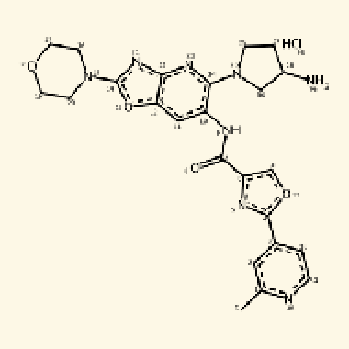 Cc1cc(-c2nc(C(=O)Nc3cc4oc(N5CCOCC5)nc4nc3N3CCC(N)C3)co2)ccn1.Cl